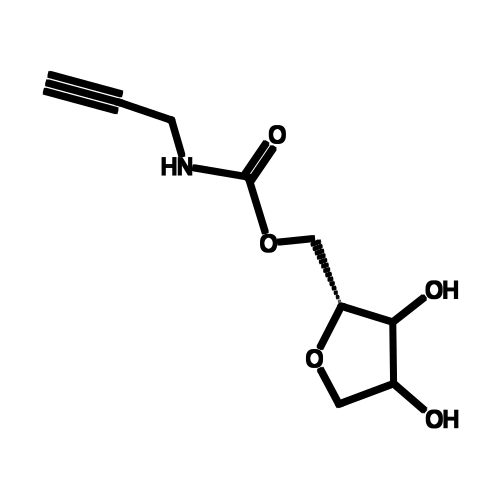 C#CCNC(=O)OC[C@H]1OCC(O)C1O